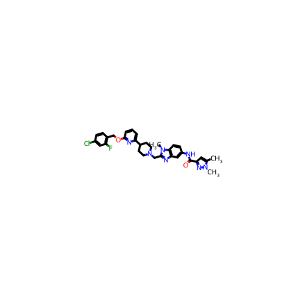 Cc1cc(C(=O)Nc2ccc3c(c2)nc(CN2CCC(c4cccc(OCc5ccc(Cl)cc5F)n4)CC2)n3C)nn1C